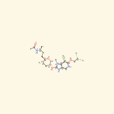 CC(=O)N[C@@H](C)CC[C@H]1OC[C@H](Oc2nc3cnc(OCC(F)F)c(Cl)c3n2C)C[C@@H]1C